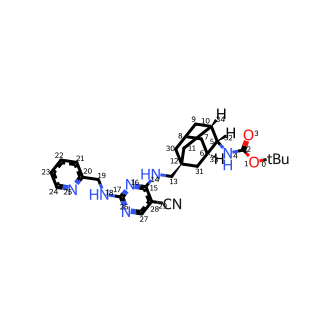 CC(C)(C)OC(=O)N[C@@H]1[C@@H]2CC3C[C@H]1C[C@@](CNc1nc(NCc4ccccn4)ncc1C#N)(C3)C2